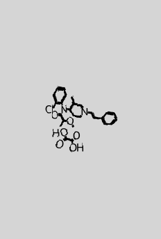 COC(C)C(=O)N(c1ccccc1Cl)C1CCN(CCc2ccccc2)CC1C.O=C(O)C(=O)O